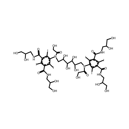 O=C(NCC(O)CO)c1c(I)c(C(=O)NCC(O)CO)c(I)c(N(CC(O)C(O)C(O)C(O)CN(C(=O)CO)c2c(I)c(C(=O)NCC(O)CO)c(I)c(C(=O)NCC(O)CO)c2I)C(=O)CO)c1I